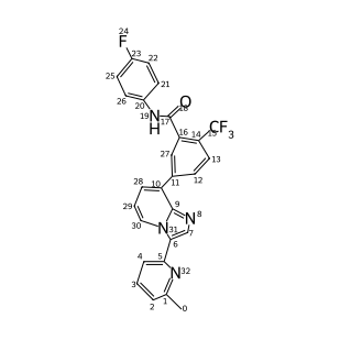 Cc1cccc(-c2cnc3c(-c4ccc(C(F)(F)F)c(C(=O)Nc5ccc(F)cc5)c4)cccn23)n1